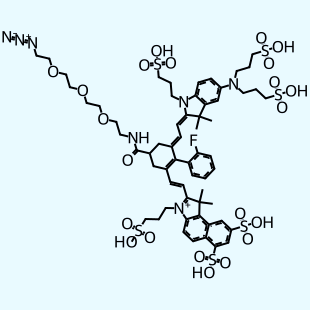 CC1(C)C(/C=C/C2=C(c3ccccc3F)C(=C/C=C3/N(CCCS(=O)(=O)O)c4ccc(N(CCCS(=O)(=O)O)CCCS(=O)(=O)O)cc4C3(C)C)/CC(C(=O)NCCOCCOCCOCCN=[N+]=[N-])C2)=[N+](CCCS(=O)(=O)O)c2ccc3c(S(=O)(=O)O)cc(S(=O)(=O)O)cc3c21